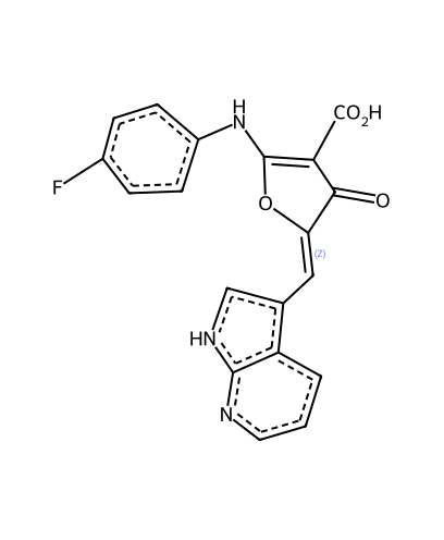 O=C(O)C1=C(Nc2ccc(F)cc2)O/C(=C\c2c[nH]c3ncccc23)C1=O